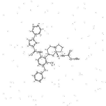 CC(C)(C)OC(=O)N[C@H]1CCN2CCN(c3c(NC(=O)c4csc(-c5ccnnc5)n4)ccc(Oc4ccccc4)c3C(F)(F)F)C[C@@H]12